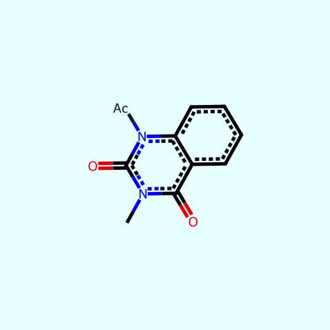 CC(=O)n1c(=O)n(C)c(=O)c2ccccc21